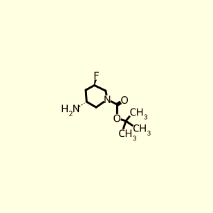 CC(C)(C)OC(=O)N1C[C@H](N)C[C@@H](F)C1